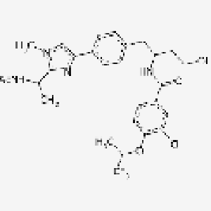 CC(=O)NC(C)c1nc(-c2ccc(CC(CCO)NC(=O)c3ccc(OC(C)C(F)(F)F)c(Cl)c3)cc2)cn1C